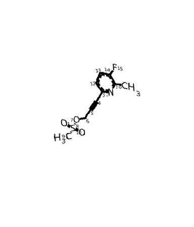 Cc1nc(C#CCOS(C)(=O)=O)ccc1F